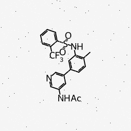 CC(=O)Nc1cncc(-c2ccc(C)c(NS(=O)(=O)c3ccccc3C(F)(F)F)c2)c1